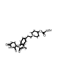 CNC(=O)OC1CCN(CCc2ccc3c(c2)n(C)c(=O)n3C2CCC(=O)NC2=O)CC1